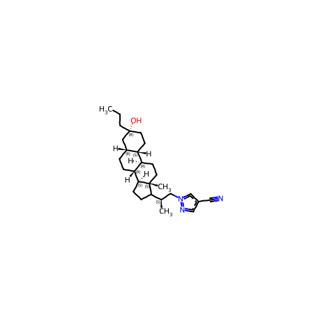 CCC[C@@]1(O)CC[C@H]2[C@H](CC[C@@H]3[C@@H]2CC[C@]2(C)C([C@H](C)Cn4cc(C#N)cn4)CC[C@@H]32)C1